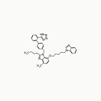 CCCCc1nc2c(C)ccc(OCCCCCn3cnc4ccccc43)c2n1Cc1ccc(-c2ccccc2-c2nnn[nH]2)cc1